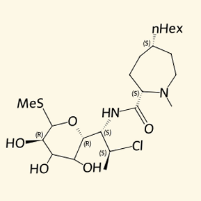 CCCCCC[C@H]1CC[C@@H](C(=O)N[C@H]([C@H](C)Cl)[C@H]2OC(SC)[C@H](O)C(O)C2O)N(C)CC1